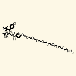 Cc1sc2c(c1C)C(c1ccc(Cl)cc1)=N[C@@H](CC(=O)Nc1ccc(OCCOCCOCCOCCOCCOCCOCCOCCOCCN)nc1)c1nnc(C)n1-2